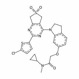 CN(C(=O)COc1ccc2c(c1)N(c1nc(-c3ccc(Cl)s3)nc3c1CS(=O)(=O)C3)CC2)C1CC1